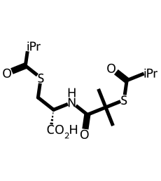 CC(C)C(=O)SC[C@H](NC(=O)C(C)(C)SC(=O)C(C)C)C(=O)O